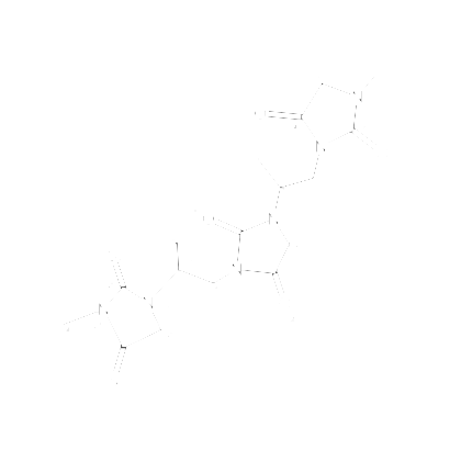 CC(CN1C(=O)CN(C)C1=O)N1CC(=O)N(CC(C)N2CC(=S)N(C)C2=S)C1=O